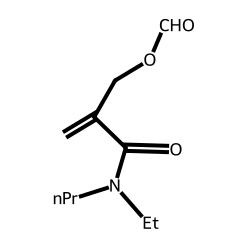 C=C(COC=O)C(=O)N(CC)CCC